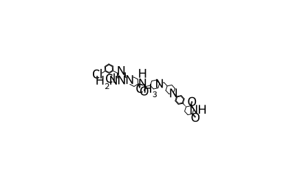 CC1(NC(=O)C2CCN(CC3CCN(c4ccc([C@@H]5CCC(=O)NC5=O)cc4)CC3)CC2)CCN(c2cnc(-c3cccc(Cl)c3Cl)c(N)n2)CC1